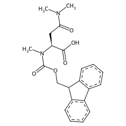 CN(C)C(=O)C[C@@H](C(=O)O)N(C)C(=O)OCC1c2ccccc2-c2ccccc21